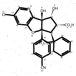 CC1([C@@H]2[C@@H](C(=O)O)[C@@H](O)[C@@]3(O)c4ncc(Cl)cc4O[C@@]23c2ccc(C#N)cc2)C=CC=CC1